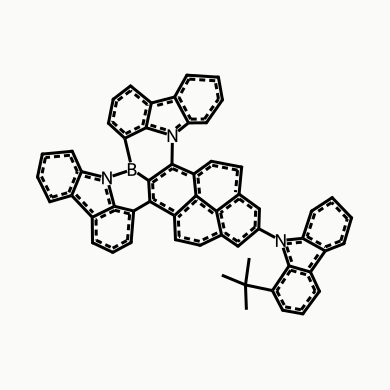 CC(C)(C)c1cccc2c3ccccc3n(-c3cc4ccc5c6c7c(c8ccc(c3)c4c58)-n3c4ccccc4c4cccc(c43)B7n3c4ccccc4c4cccc-6c43)c12